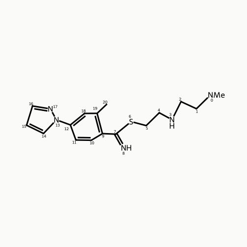 CNCCNCCSC(=N)c1ccc(-n2cccn2)cc1C